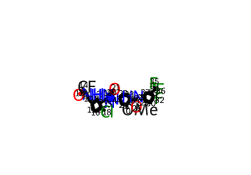 COc1cc(-n2nc(-c3cc(CNC(=O)C(F)(F)F)ccc3Cl)[nH]c2=O)ccc1C(=O)Nc1ccc(F)c(C(F)F)c1